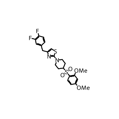 COc1ccc(S(=O)(=O)C2CCN(c3nc(Cc4ccc(F)c(F)c4)cs3)CC2)c(OC)c1